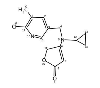 Cc1cc(CN(C2=CC(=O)OC2)C2CC2)cnc1Cl